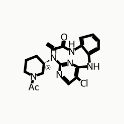 C=CC(=O)Nc1ccccc1Nc1nc(N[C@H]2CCCN(C(C)=O)C2)ncc1Cl